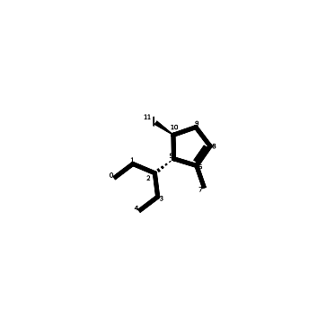 CCC(CC)[C@H]1C(C)=CC[C@@H]1I